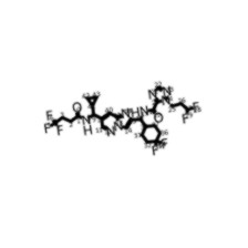 O=C(CCC(F)(F)F)NC(c1cnn2cc([C@@H](NC(=O)c3ncnn3CCC(F)F)C3CCC(F)(F)CC3)nc2c1)C1CC1